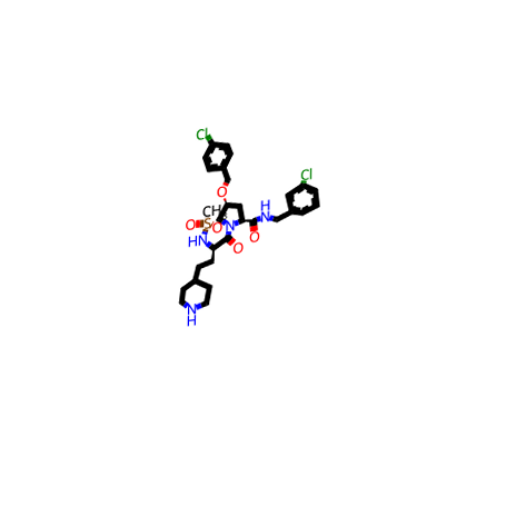 CS(=O)(=O)N[C@H](CCC1CCNCC1)C(=O)N1C[C@H](OCc2ccc(Cl)cc2)C[C@H]1C(=O)NCc1cccc(Cl)c1